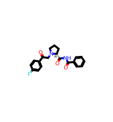 O=C(CN1CCC[C@@H]1C(=O)NC(=O)c1ccccc1)c1ccc(F)cc1